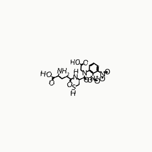 NC(CCC(=O)N[C@H](CS)C(=O)N(CC(=O)O)c1cccc([N+](=O)[O-])c1[N+](=O)[O-])C(=O)O